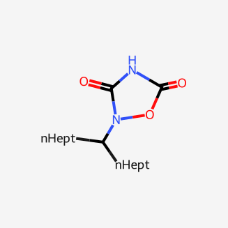 CCCCCCCC(CCCCCCC)n1oc(=O)[nH]c1=O